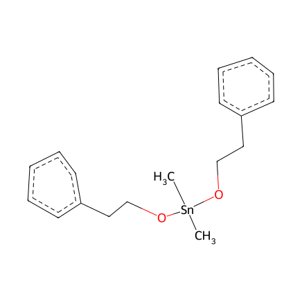 [CH3][Sn]([CH3])([O]CCc1ccccc1)[O]CCc1ccccc1